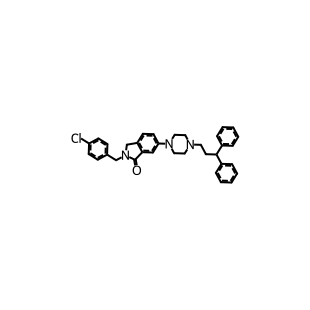 O=C1c2cc(N3CCN(CCC(c4ccccc4)c4ccccc4)CC3)ccc2CN1Cc1ccc(Cl)cc1